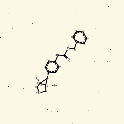 O=C(Nc1ccc(C2[C@H]3COC[C@@H]23)cc1)OCc1ccccc1